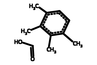 Cc1ccc(C)c(C)c1C.O=CO